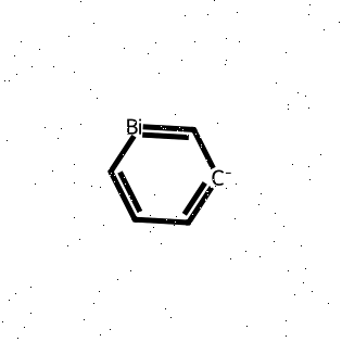 [C-]1=CC=[CH][Bi]=[CH]1